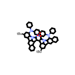 CC(C)(C)c1cc(N(c2ccccc2)c2ccccc2)c2c(c1)c1cc3ccccc3c3c4c5c6cc(C(C)(C)C)cc7c8cc9ccccc9c(N(c9ccccc9)c9ccccc9)c8n(c5cnc4n2c13)c76